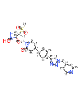 CC(CCn1ccc(-c2ccc(-c3cn(Cc4ccncc4)nn3)cc2)cc1=O)(C(=O)NO)S(C)(=O)=O